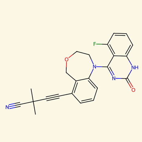 CC(C)(C#N)C#Cc1cccc2c1COCCN2c1nc(=O)[nH]c2cccc(F)c12